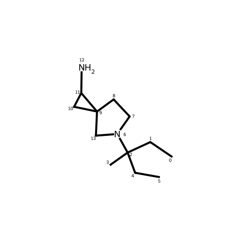 CCC(C)(CC)N1CCC2(CC2N)C1